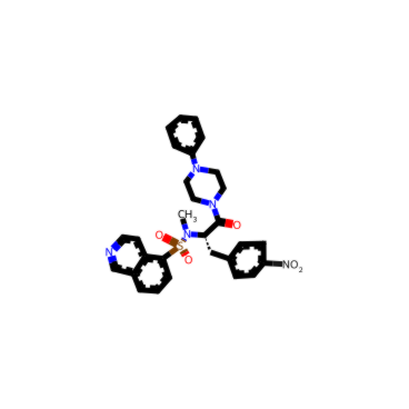 CN([C@@H](Cc1ccc([N+](=O)[O-])cc1)C(=O)N1CCN(c2ccccc2)CC1)S(=O)(=O)c1cccc2cnccc12